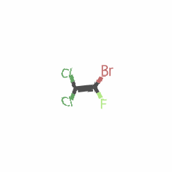 FC(Br)=C(Cl)Cl